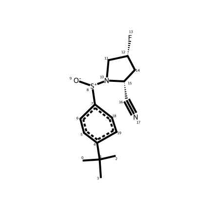 CC(C)(C)c1ccc([S+]([O-])N2C[C@H](F)C[C@@H]2C#N)cc1